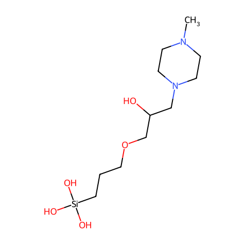 CN1CCN(CC(O)COCCC[Si](O)(O)O)CC1